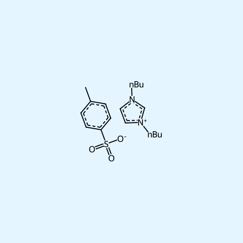 CCCCn1cc[n+](CCCC)c1.Cc1ccc(S(=O)(=O)[O-])cc1